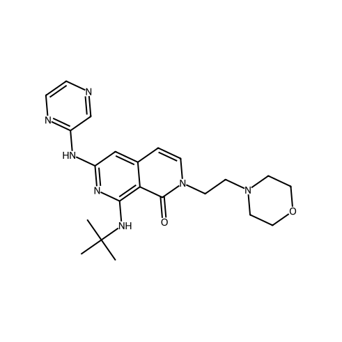 CC(C)(C)Nc1nc(Nc2cnccn2)cc2ccn(CCN3CCOCC3)c(=O)c12